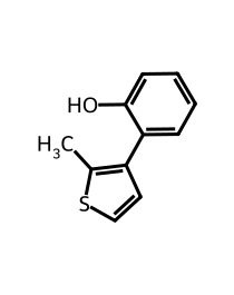 Cc1sccc1-c1ccccc1O